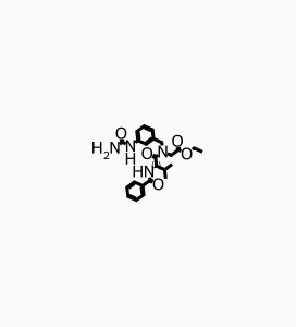 CCOC(=O)CN(Cc1cccc(NC(N)=O)c1)C(=O)[C@@H](NC(=O)c1ccccc1)C(C)C